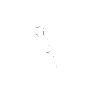 O=C(O)CCCC(=O)NCCc1cnccn1